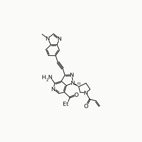 C=CC(=O)N1CC[C@H](n2nc(C#Cc3ccc4c(c3)ncn4C)c3c(N)ncc(C(=O)CC)c32)C1